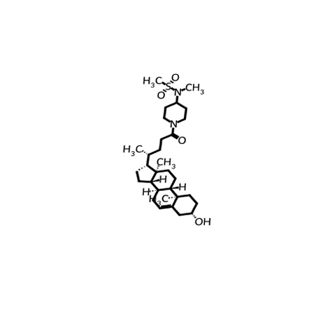 C[C@H](CCC(=O)N1CCC(N(C)S(C)(=O)=O)CC1)[C@H]1CC[C@H]2[C@@H]3CC=C4C[C@@H](O)CC[C@]4(C)[C@H]3CC[C@]12C